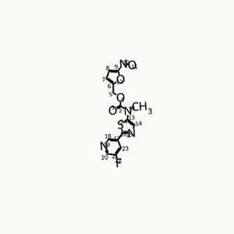 CN(C(=O)OCc1ccc(N=O)o1)c1cnc(-c2cncc(F)c2)s1